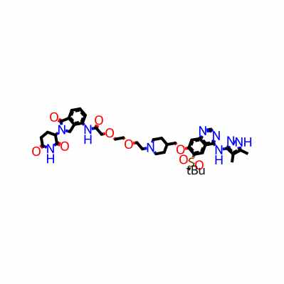 Cc1[nH]nc(Nc2ncnc3cc(OCC4CCN(CCOCCOCC(=O)Nc5cccc6c5CN(C5CCC(=O)NC5=O)C6=O)CC4)c(S(=O)(=O)C(C)(C)C)cc23)c1C